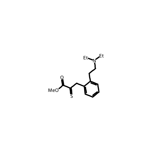 CCN(CC)CCc1ccccc1CC(=S)C(=O)OC